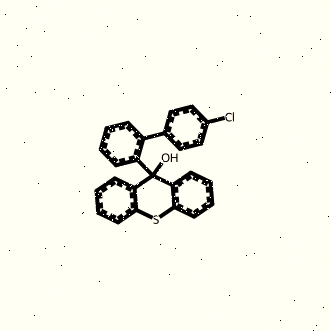 OC1(c2ccccc2-c2ccc(Cl)cc2)c2ccccc2Sc2ccccc21